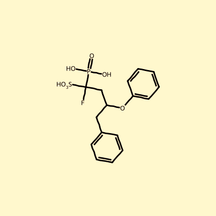 O=P(O)(O)C(F)(CC(Cc1ccccc1)Oc1ccccc1)S(=O)(=O)O